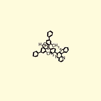 Cc1cc(-c2ccccc2)cc(C)c1B(c1ccc(-c2nc3cccnc3c3c2sc2ccccc23)cc1)c1c(C)cc(-c2ccccc2)cc1C